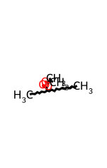 CCC=CCC=CCCCCCC(CCCCCCC)C(C=O)OC(=O)C(C)C